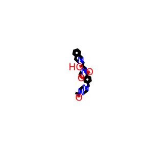 CC(=O)N1CCN(Cc2ccc3c(c2)OCCN(CC(O)CN2CCc4ccccc4C2)C3=O)CC1